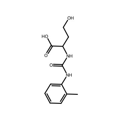 Cc1ccccc1NC(=O)NC(CCO)C(=O)O